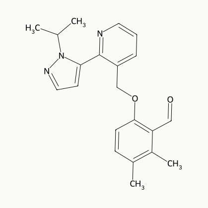 Cc1ccc(OCc2cccnc2-c2ccnn2C(C)C)c(C=O)c1C